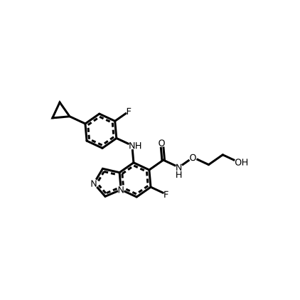 O=C(NOCCO)c1c(F)cn2cncc2c1Nc1ccc(C2CC2)cc1F